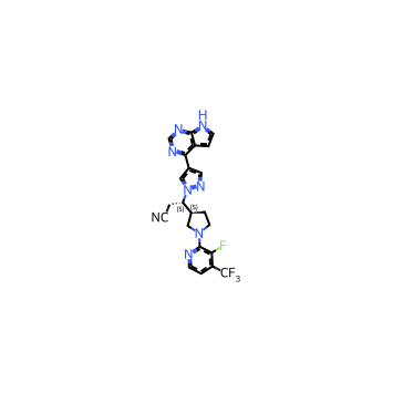 N#CC[C@@H]([C@H]1CCN(c2nccc(C(F)(F)F)c2F)C1)n1cc(-c2ncnc3[nH]ccc23)cn1